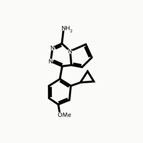 COc1ccc(-c2nnc(N)n3cccc23)c(C2CC2)c1